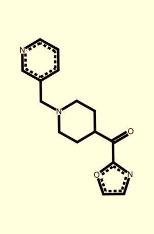 O=C(c1ncco1)C1CCN(Cc2cccnc2)CC1